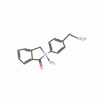 C[N+]1(c2ccc(CC(=O)O)cc2)Cc2ccccc2C1=O